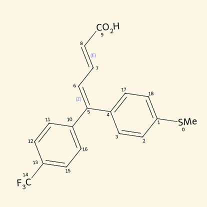 CSc1ccc(/C(=C\C=C\C(=O)O)c2ccc(C(F)(F)F)cc2)cc1